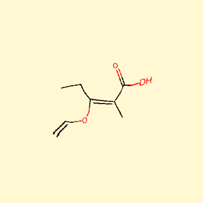 C=CO/C(CC)=C(\C)C(=O)O